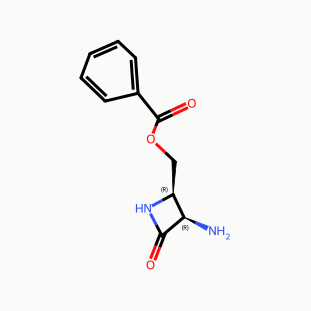 N[C@H]1C(=O)N[C@H]1COC(=O)c1ccccc1